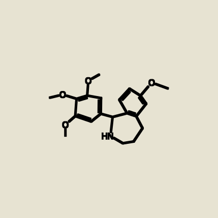 COc1ccc2c(c1)CCCNC2c1cc(OC)c(OC)c(OC)c1